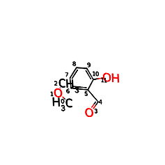 COC.O=Cc1ccccc1O